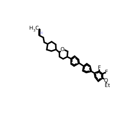 C/C=C/CCC1CCC(C2CCC(c3ccc(-c4ccc(-c5ccc(OCC)c(F)c5F)cc4)cc3)CO2)CC1